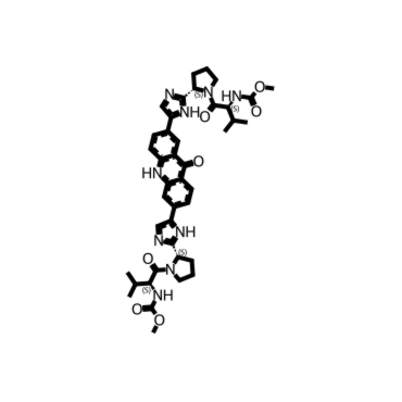 COC(=O)N[C@H](C(=O)N1CCC[C@H]1c1ncc(-c2ccc3c(=O)c4cc(-c5cnc([C@@H]6CCCN6C(=O)[C@@H](NC(=O)OC)C(C)C)[nH]5)ccc4[nH]c3c2)[nH]1)C(C)C